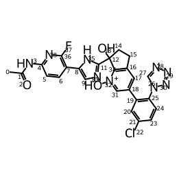 CC(=O)Nc1ccc(-c2cnc(C3(O)CCc4cc(-c5cc(Cl)ccc5-n5cnnn5)c[n+](O)c43)[nH]2)c(F)n1